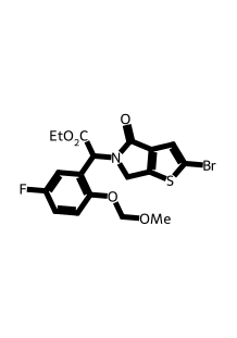 CCOC(=O)C(c1cc(F)ccc1OCOC)N1Cc2sc(Br)cc2C1=O